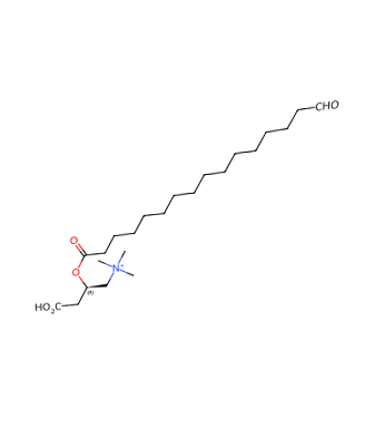 C[N+](C)(C)C[C@@H](CC(=O)O)OC(=O)CCCCCCCCCCCCCCC=O